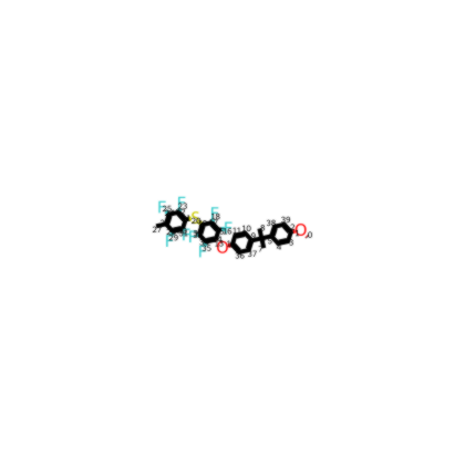 COc1ccc(C(C)(C)c2ccc(Oc3c(F)c(F)c(Sc4c(F)c(F)c(C)c(F)c4F)c(F)c3F)cc2)cc1